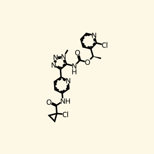 C[C@@H](OC(=O)Nc1c(-c2ccc(NC(=O)C3(Cl)CC3)cn2)nnn1C)c1cccnc1Cl